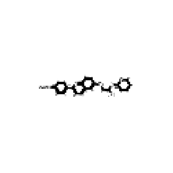 CCC(COc1ccc2nc(-c3ccc(NC)cc3)ccc2c1)OC1CCCCO1